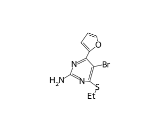 CCSc1nc(N)nc(-c2ccco2)c1Br